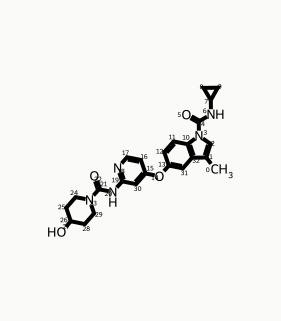 Cc1cn(C(=O)NC2CC2)c2ccc(Oc3ccnc(NC(=O)N4CCC(O)CC4)c3)cc12